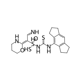 N=C/C(=C1\NCCCO1)[SH](=O)(S)NC(=S)Nc1c2c(cc3c1CCC3)CCC2